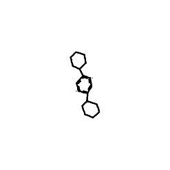 [c]1cc(C2CCCCC2)[c]cc1C1CCCCC1